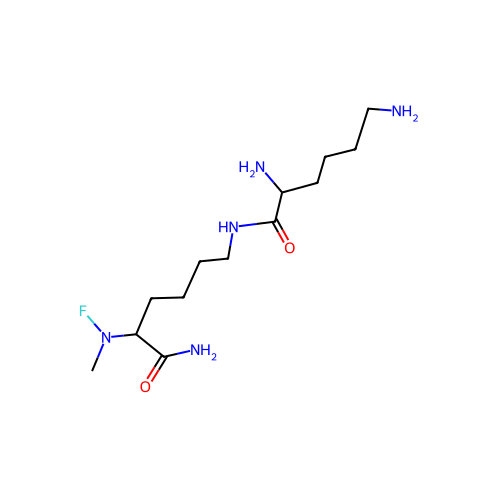 CN(F)C(CCCCNC(=O)C(N)CCCCN)C(N)=O